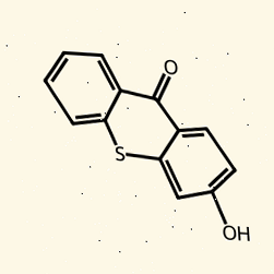 O=c1c2ccccc2sc2cc(O)ccc12